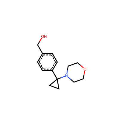 OCc1ccc(C2(N3CCOCC3)CC2)cc1